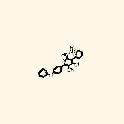 N#Cc1c(-c2ccc(Oc3ccccc3)cc2)nc(NN)c(-c2ccccn2)c1Cl